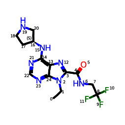 CCn1c(C(=O)NCC(F)(F)F)nc2c(N[C@H]3CCNC3)ncnc21